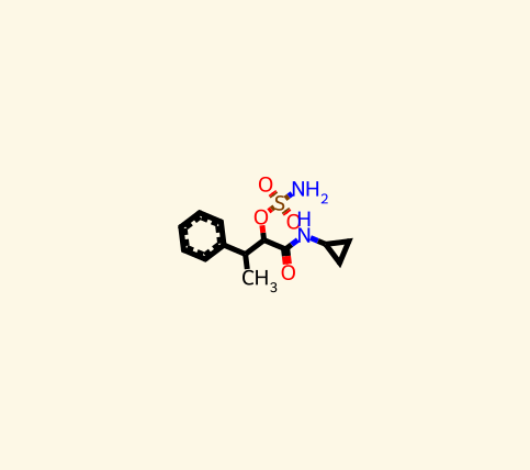 CC(c1ccccc1)C(OS(N)(=O)=O)C(=O)NC1CC1